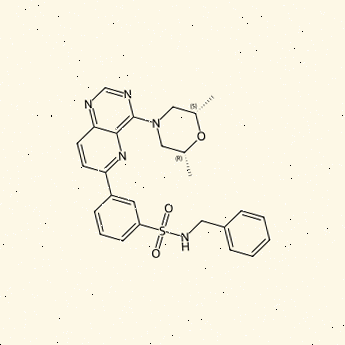 C[C@@H]1CN(c2ncnc3ccc(-c4cccc(S(=O)(=O)NCc5ccccc5)c4)nc23)C[C@H](C)O1